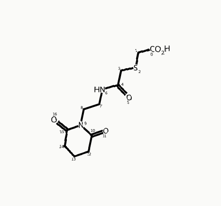 O=C(O)CSCC(=O)NCCN1C(=O)CCCC1=O